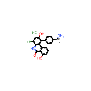 C[C@@H](N)c1ccc(-c2c(O)cc(Cl)c3[nH]c(=O)c4c(O)cccc4c23)cc1.Cl